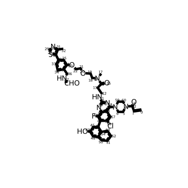 C=CC(=O)N1CCN(c2nc(NCCC(=O)N(C)CCOCCOc3cc(-c4scnc4C)ccc3CNC=O)nc3c(F)c(-c4cc(O)cc5ccccc45)c(Cl)cc23)CC1